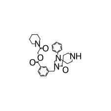 O=C(OCC(=O)N1CCCCC1)c1cccc(CN2CN(c3ccccc3)C3(CCNCC3)C2=O)c1